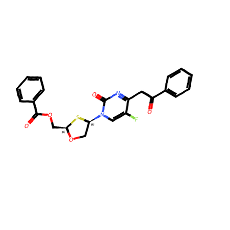 O=C(Cc1nc(=O)n([C@H]2CO[C@@H](COC(=O)c3ccccc3)S2)cc1F)c1ccccc1